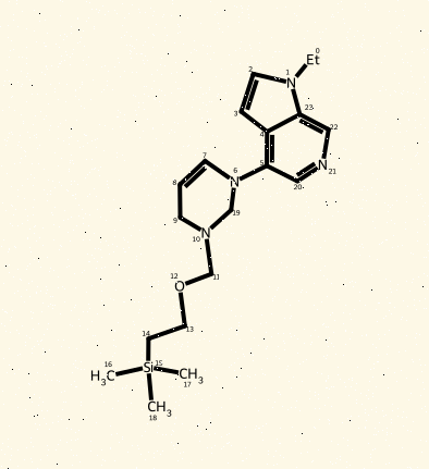 CCn1ccc2c(N3C=CCN(COCC[Si](C)(C)C)C3)cncc21